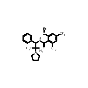 CCOc1cc(C(F)(F)F)cc(C(F)(F)F)c1C(=O)NC(c1ccccc1)C(C)(C)N1CCCC1